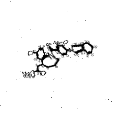 COC(=O)CC1CCCN(C(=O)c2ccc(-n3cc4ccccc4c3)cc2OC)c2ccc(Cl)cc21